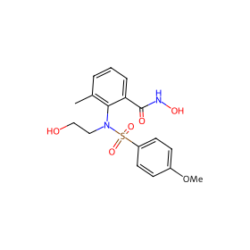 COc1ccc(S(=O)(=O)N(CCO)c2c(C)cccc2C(=O)NO)cc1